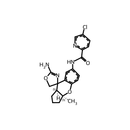 C[C@]12CCC[C@H]1C1(COC(N)=N1)c1cc(NC(=O)c3ccc(Cl)cn3)ccc1O2